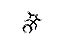 C/C=C(\N=C/S)C1(CC)C(=O)NC(=O)N1N